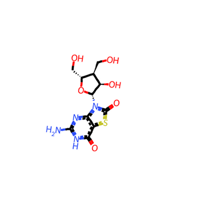 Nc1nc2c(sc(=O)n2[C@@H]2O[C@H](CO)[C@@H](CO)[C@H]2O)c(=O)[nH]1